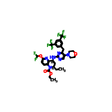 CCOC(=O)N1c2ccc(OC(F)F)nc2[C@@H](Nc2ncc(N3CCOCC3)c(Cc3cc(C(F)(F)F)cc(C(F)(F)F)c3)n2)C[C@H]1CC